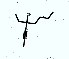 CC#CC(O)(CC)CCCC